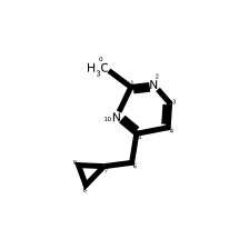 Cc1n[c]cc(CC2CC2)n1